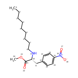 CCCCCCCCCN[C@H](Cc1ccc([N+](=O)[O-])cc1)C(=O)OC